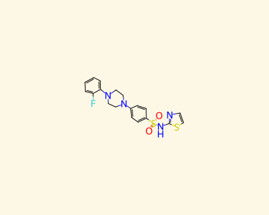 O=S(=O)(Nc1nccs1)c1ccc(N2CCN(c3ccccc3F)CC2)cc1